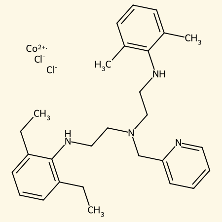 CCc1cccc(CC)c1NCCN(CCNc1c(C)cccc1C)Cc1ccccn1.[Cl-].[Cl-].[Co+2]